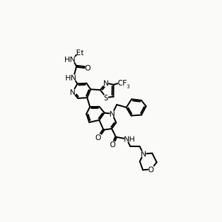 CCNC(=O)Nc1cc(-c2nc(C(F)(F)F)cs2)c(-c2ccc3c(=O)c(C(=O)NCCN4CCOCC4)cn(Cc4ccccc4)c3c2)cn1